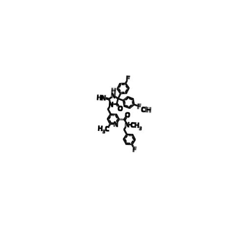 Cc1cc(CN2C(=N)NC(c3ccc(F)cc3)(c3ccc(F)cc3)C2=O)cc(C(=O)N(C)Cc2ccc(F)cc2)n1.Cl